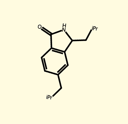 CC(C)Cc1ccc2c(c1)C(CC(C)C)NC2=O